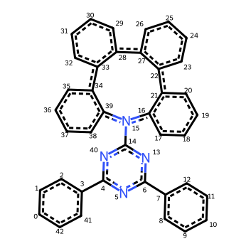 c1ccc(-c2nc(-c3ccccc3)nc(-n3c4ccccc4c4ccccc4c4ccccc4c4ccccc43)n2)cc1